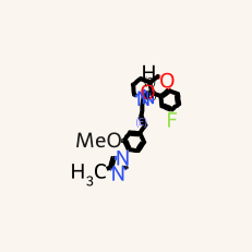 COc1cc(/C=C/C2=NO[C@@]34c5cc(F)ccc5OC[C@@H]3CCCN24)ccc1-n1cnc(C)c1